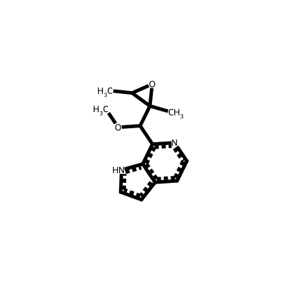 COC(c1nccc2cc[nH]c12)C1(C)OC1C